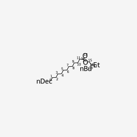 CCCCCCCCCCCCCCCCCCCCCC(=O)OCC(CC)CCCC